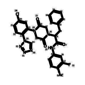 CC(=O)c1ccc(NC(=O)C(Cc2ccccc2)N2CC(=O)N(c3cc(Cl)ccc3-n3cnnn3)CC2=O)cc1F